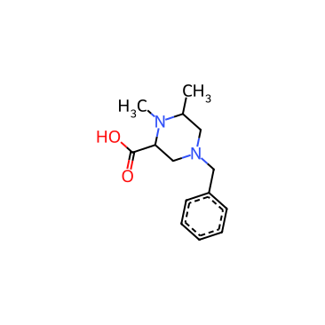 CC1CN(Cc2ccccc2)CC(C(=O)O)N1C